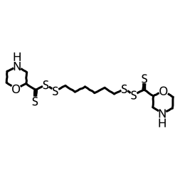 S=C(SSCCCCCCSSC(=S)C1CNCCO1)C1CNCCO1